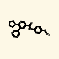 O=C(Nc1ccc(OC(F)(F)F)cc1)c1cnc(N2CCCC2)c(-c2cncnc2)c1